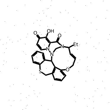 CCC1/C=C/COc2cccc3c2C(c2ccccc2SC3)N2CN1C(=O)c1c(O)c(=O)ccn12